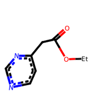 CCOC(=O)Cc1ccncn1